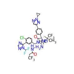 CC(C)(C[C@]1(c2ccc(-c3cnn(C4CC4)n3)cc2)NC(N)N([C@H](CNC(=O)CC(F)(F)F)c2ccc(Cl)c(-c3ncnn3C(F)F)c2)C1=O)C(F)(F)F